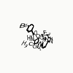 CC1(C)[C@H](NC(=O)c2ccc(Br)cc2)C(C)(C)[C@H]1Oc1ccc2nnc(C(F)(F)F)n2n1